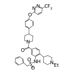 CCN1CCC(c2ccc(C(=O)N3CCC(c4ccc(Oc5ccc(C(F)(F)F)nn5)cc4)CC3)cc2NS(=O)(=O)Cc2ccccc2)CC1